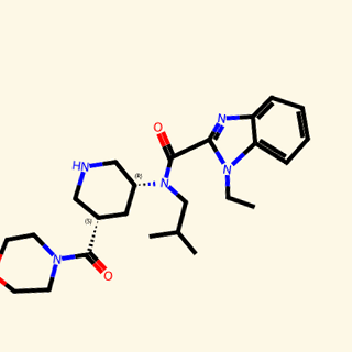 CCn1c(C(=O)N(CC(C)C)[C@H]2CNC[C@@H](C(=O)N3CCOCC3)C2)nc2ccccc21